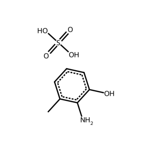 Cc1cccc(O)c1N.O=S(=O)(O)O